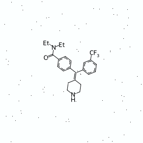 CCN(CC)C(=O)c1ccc(C(=C2CCNCC2)c2cccc(C(F)(F)F)c2)cc1